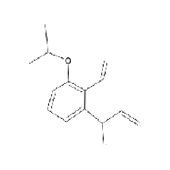 [CH2]C(C=C)c1cccc(OC(C)C)c1C=C